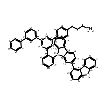 CCCCc1ccc(-c2nc(-c3cccc(-c4ccccc4)c3)nc(-c3ccccc3-n3c4ccccc4c4ccc(-c5cccc6oc7ccccc7c56)cc43)n2)cc1